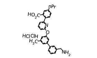 CCCc1ccc(-c2cccc(Oc3cc(C)cc(-c4cccc(CN)c4)c3)n2)c(C(=O)O)c1.Cl.Cl